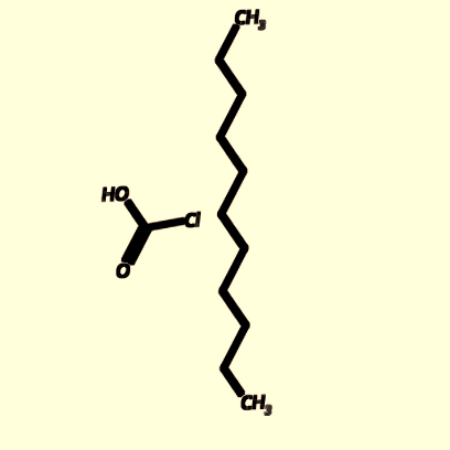 CCCCCCCCCCC.O=C(O)Cl